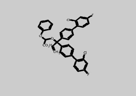 C=CC(OC(Oc1ccccc1)C(=O)O)(c1ccc(-c2ccc(F)cc2Cl)cc1)c1ccc(-c2ccc(F)cc2Cl)cc1